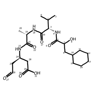 CC(C)[C@H](NC(=O)C(O)CC1CCCCC1)C(=O)N[C@@H](C)C(=O)N[C@H](CC=O)CC(=O)O